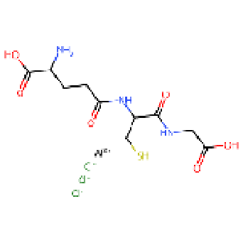 NC(CCC(=O)NC(CS)C(=O)NCC(=O)O)C(=O)O.[Al+3].[Cl-].[Cl-].[Cl-]